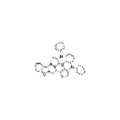 c1ccc(N2c3ccccc3B3c4c(-c5ccc6c(c5)oc5ccccc56)cccc4N(c4ccccc4)c4cccc2c43)cc1